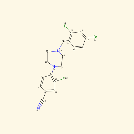 N#Cc1ccc(N2CCN(Cc3ccc(Br)cc3F)CC2)c(F)c1